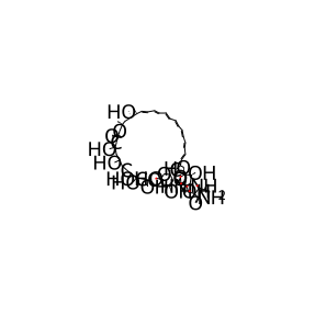 C[C@H]1C[C@H](O)[C@@H](C)/C=C/C=C/C=C/C=C/C=C/C=C/C=C/C(O[C@@H]2OC[C@@H](O)[C@H](N)[C@@H]2O)C[C@@H]2OC(O)(CC(O)CC(O)C(O)CCC(O)CC(O)CC(=O)O1)C[C@H](O)[C@H]2C(=O)NCCC1CC(C)(C)NC1=O